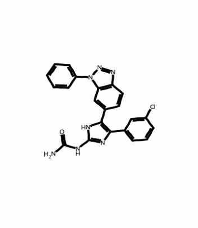 NC(=O)Nc1nc(-c2cccc(Cl)c2)c(-c2ccc3nnn(-c4ccccc4)c3c2)[nH]1